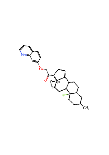 CC1CCC2(F)C(CCC3C2CC[C@]2(C)C(C(=O)COc4ccc5cccnc5c4)CCC32)C1